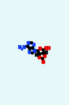 Nc1ncnc2c1ncn2[C@@H]1OC(O)[C@H]2OC(=O)O[C@H]21